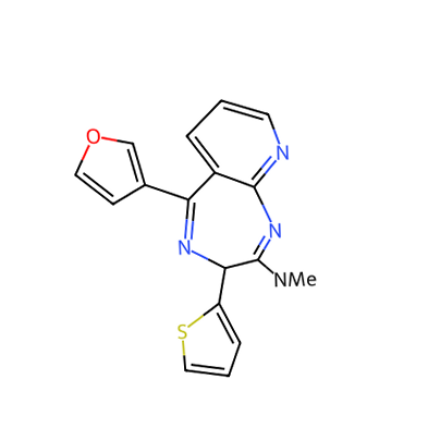 CNC1=Nc2ncccc2C(c2ccoc2)=NC1c1cccs1